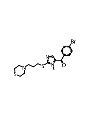 Cn1c(C(=O)c2ccc(Br)cc2)cnc1SCCCN1CCSCC1